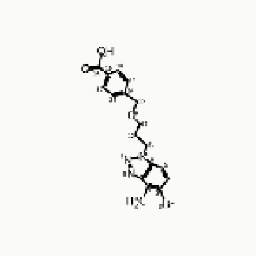 Cc1c(Br)ccc2c1nnn2CCCOCc1ccc(C(=O)O)cc1